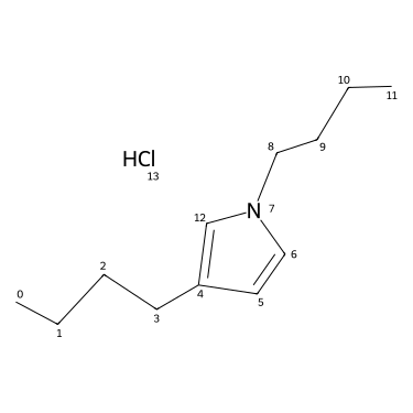 CCCCc1ccn(CCCC)c1.Cl